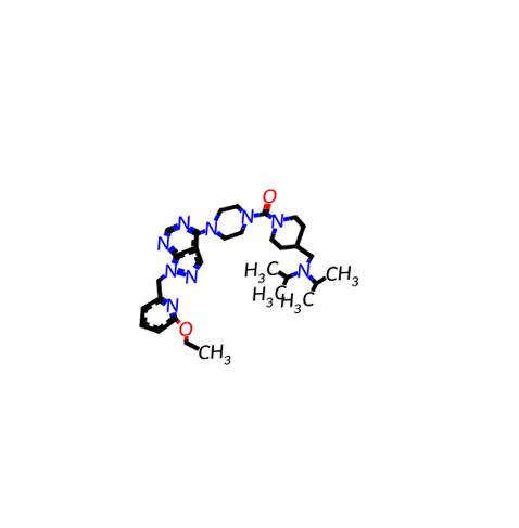 CCOc1cccc(Cn2ncc3c(N4CCN(C(=O)N5CCC(CN(C(C)C)C(C)C)CC5)CC4)ncnc32)n1